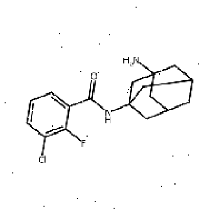 NC12CC3CC(C1)CC(NC(=O)c1cccc(Cl)c1F)(C3)C2